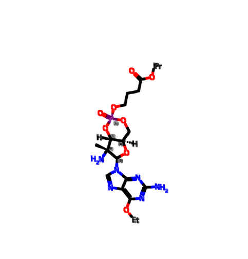 CCOc1nc(N)nc2c1ncn2[C@@H]1O[C@@H]2CO[P@](=O)(OCCCC(=O)OC(C)C)O[C@H]2[C@@]1(C)N